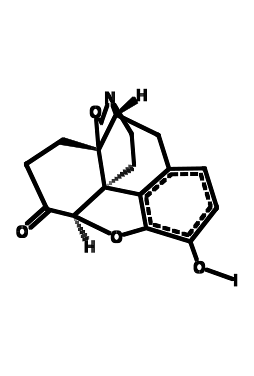 O=C1CC[C@]23OCN4CC[C@@]25c2c(ccc(OI)c2O[C@@H]15)C[C@@H]43